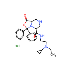 CCN(CCNC(=O)C1CNCC2C(=O)OC(c3ccccc3)(c3ccccc3)N12)C1CC1.Cl